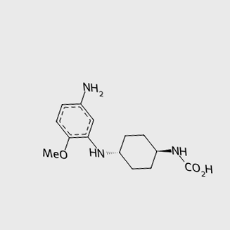 COc1ccc(N)cc1N[C@H]1CC[C@H](NC(=O)O)CC1